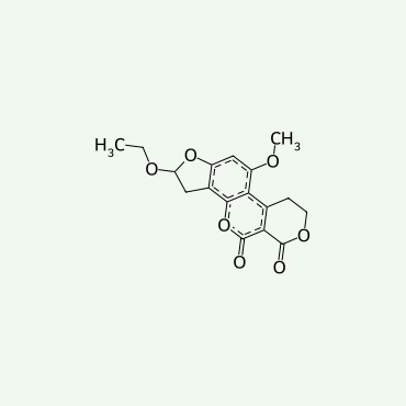 CCOC1Cc2c(cc(OC)c3c4c(c(=O)oc23)C(=O)OCC4)O1